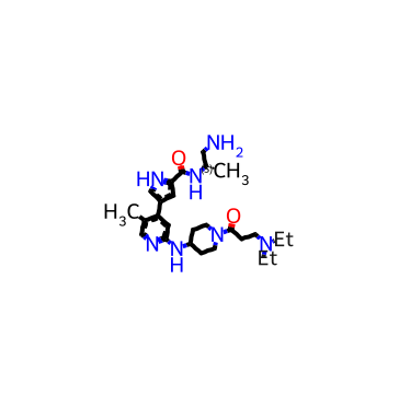 CCN(CC)CCC(=O)N1CCC(Nc2cc(-c3c[nH]c(C(=O)N[C@@H](C)CN)c3)c(C)cn2)CC1